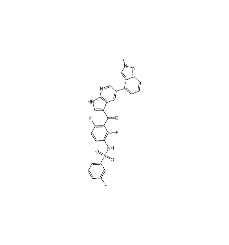 Cn1cc2c(-c3cnc4[nH]cc(C(=O)c5c(F)ccc(NS(=O)(=O)c6cccc(F)c6)c5F)c4c3)cccc2n1